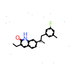 CCc1cc2ccc([C@H](C)Cc3cc(C)cc(F)c3)cc2[nH]c1=O